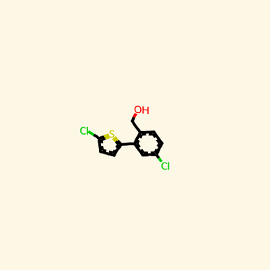 OCc1ccc(Cl)cc1-c1ccc(Cl)s1